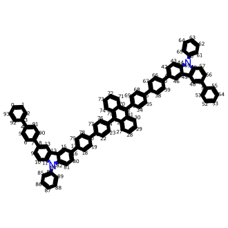 c1ccc(-c2ccc(-c3ccc4c(c3)c3cc(-c5ccc(-c6ccc(-c7c8ccccc8c(-c8ccc(-c9ccc(-c%10ccc%11c(c%10)c%10cc(-c%12ccccc%12)ccc%10n%11-c%10ccccc%10)cc9)cc8)c8ccccc78)cc6)cc5)ccc3n4-c3ccccc3)cc2)cc1